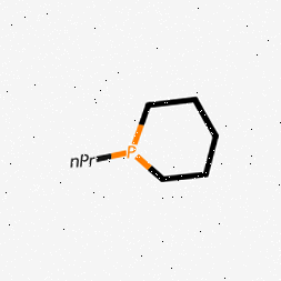 CCCP1CCCCC1